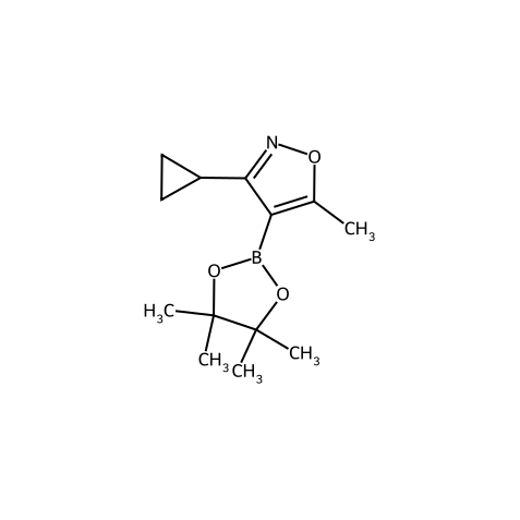 Cc1onc(C2CC2)c1B1OC(C)(C)C(C)(C)O1